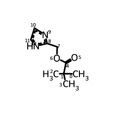 CC(C)(C)C(=O)OCc1ncc[nH]1